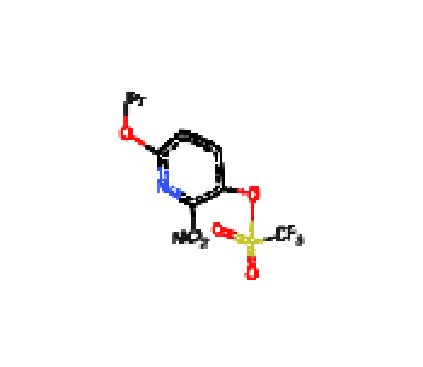 CC(C)Oc1ccc(OS(=O)(=O)C(F)(F)F)c([N+](=O)[O-])n1